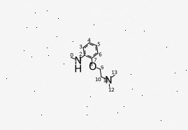 CNc1ccccc1OCCN(C)C